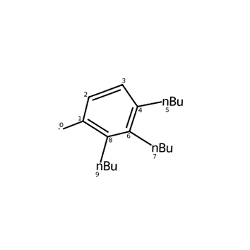 [CH2]c1ccc(CCCC)c(CCCC)c1CCCC